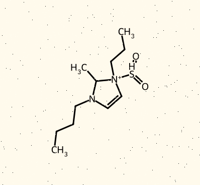 CCCCN1C=C[N+](CCC)([SH](=O)=O)C1C